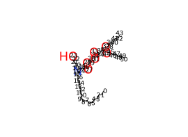 CCCCC/C=C\C/C=C\CCCCCCCCN(CCCCO)CCC(=O)OCCOC(=O)CCC(OCCCCCC)OCCCCCC